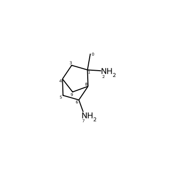 CC1(N)CC2CC(N)C1C2